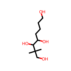 CC(C)(CO)C(O)C(O)CCCCO